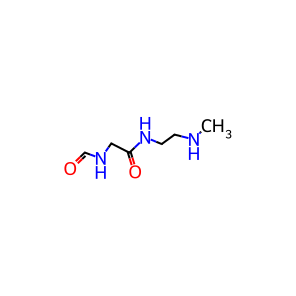 CNCCNC(=O)CNC=O